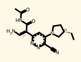 CC[C@H]1CCN(c2cc(/C(=C/N)C(=O)NC(C)=O)nnc2C#N)C1